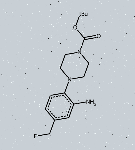 CC(C)(C)OC(=O)N1CCN(c2ccc(CF)cc2N)CC1